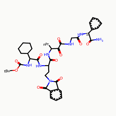 CCCC(NC(=O)C(CCN1C(=O)c2ccccc2C1=O)NC(=O)C(NC(=O)OC(C)(C)C)C1CCCCC1)C(=O)C(=O)NCC(=O)N[C@H](C(N)=O)c1ccccc1